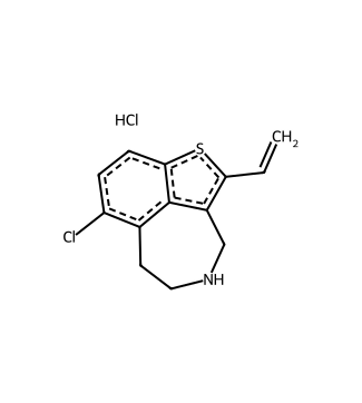 C=Cc1sc2ccc(Cl)c3c2c1CNCC3.Cl